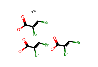 O=C([O-])C(Br)=CBr.O=C([O-])C(Br)=CBr.O=C([O-])C(Br)=CBr.[In+3]